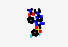 CCN(CC)c1ncc(NCCS(=O)(=O)c2ccc(F)cc2F)c(Nc2[c]c(OC(=O)N(C)C)ccc2)n1